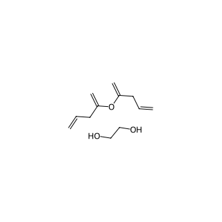 C=CCC(=C)OC(=C)CC=C.OCCO